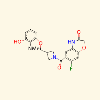 CNc1c(O)cccc1OCC1CN(C(=O)c2cc3c(cc2F)OCC(=O)N3)C1